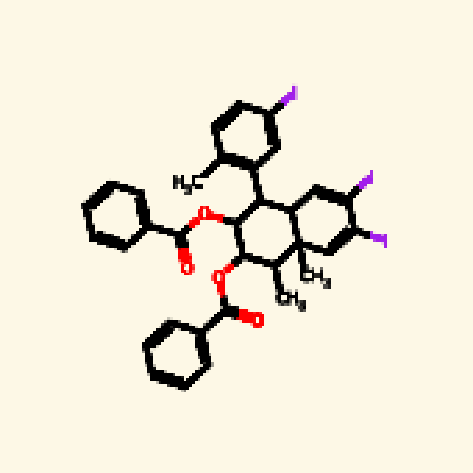 Cc1ccc(I)cc1C1C(OC(=O)c2ccccc2)C(OC(=O)c2ccccc2)C(C)C2(C)C=C(I)C(I)=CC12